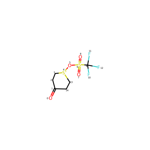 O=C1CC[S+](OS(=O)(=O)C(F)(F)F)CC1